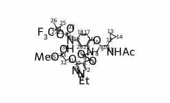 CCn1cc(S(=O)(=O)N2C[C@H]([C@@H](NC(C)=O)C3CC3)Oc3ccc(NC(=O)OC(C)(C)C(F)(F)F)cc32)c(OCC(=O)OC)n1